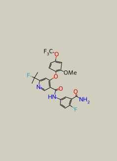 COc1cc(OC(F)(F)F)ccc1Oc1cc(C(C)(C)F)ncc1C(=O)Nc1ccc(F)c(C(N)=O)c1